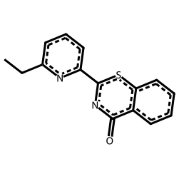 CCc1cccc(-c2nc(=O)c3ccccc3s2)n1